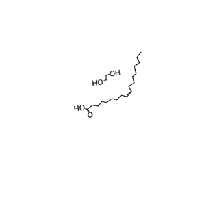 CCCCCCCC/C=C\CCCCCCCC(=O)O.OCCO